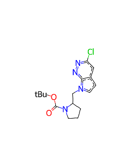 CC(C)(C)OC(=O)N1CCCC1Cn1ccc2cc(Cl)nnc21